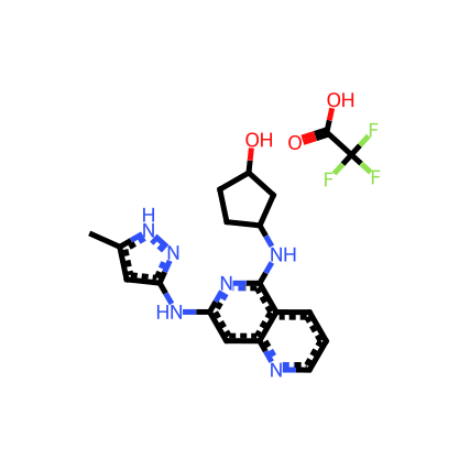 Cc1cc(Nc2cc3ncccc3c(NC3CCC(O)C3)n2)n[nH]1.O=C(O)C(F)(F)F